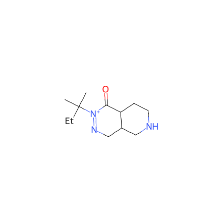 CCC(C)(C)[N+]1=NCC2CNCCC2C1=O